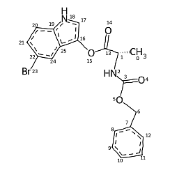 C[C@H](NC(=O)OCc1ccccc1)C(=O)Oc1c[nH]c2ccc(Br)cc12